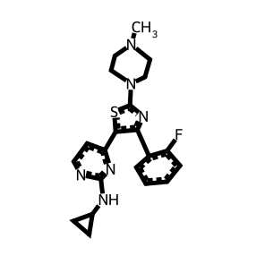 CN1CCN(c2nc(-c3ccccc3F)c(-c3ccnc(NC4CC4)n3)s2)CC1